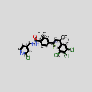 O=C(NCc1ccnc(Cl)c1)c1ccc(/C(F)=C/C(c2cc(Cl)c(Cl)c(Cl)c2)C(F)(F)F)cc1C(F)(F)F